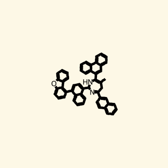 CC1=C(c2cc3ccccc3c3ccccc23)NC(c2ccc(-c3cccc4oc5ccccc5c34)c3ccccc23)N=C(c2ccc3ccccc3c2)C1